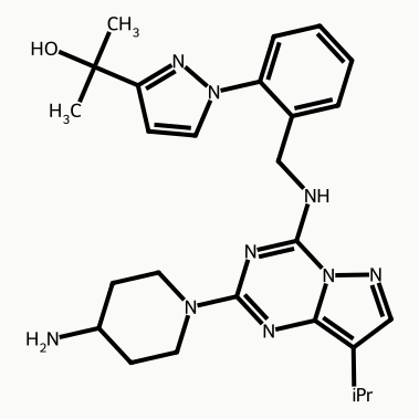 CC(C)c1cnn2c(NCc3ccccc3-n3ccc(C(C)(C)O)n3)nc(N3CCC(N)CC3)nc12